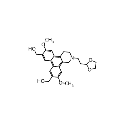 COc1cc2c3c(c4cc(OC)c(CO)cc4c2cc1CO)CN(CCC1OCCO1)CC3